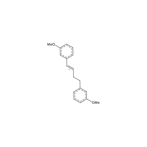 COc1cccc(/C=C/CCc2cccc(OC)c2)c1